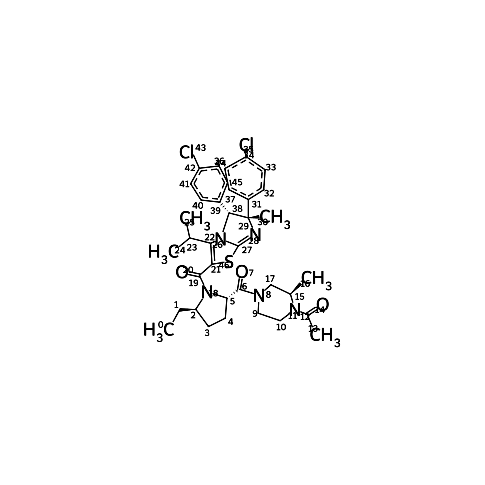 CC[C@@H]1CC[C@@H](C(=O)N2CCN(C(C)=O)[C@H](C)C2)N1C(=O)C1=C(C(C)C)N2C(=N[C@@](C)(c3ccc(Cl)cc3)[C@H]2c2ccc(Cl)cc2)S1